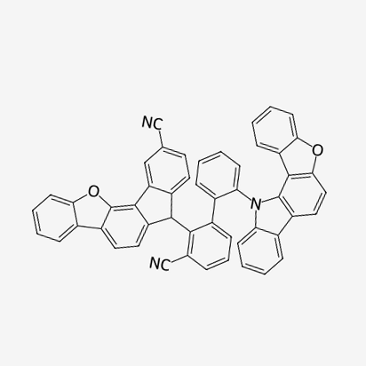 N#Cc1ccc2c(c1)-c1c(ccc3c1oc1ccccc13)C2c1c(C#N)cccc1-c1ccccc1-n1c2ccccc2c2ccc3oc4ccccc4c3c21